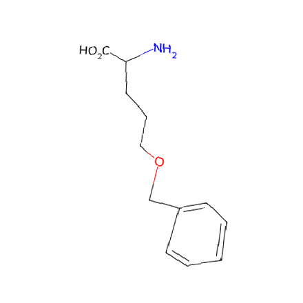 NC(CCCOCc1ccccc1)C(=O)O